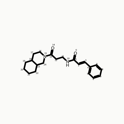 O=C(C=Cc1ccccc1)NCCC(=O)N1CCC2CCCCC2C1